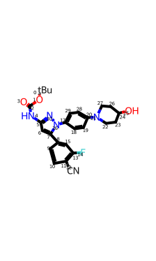 CC(C)(C)OC(=O)Nc1cc(-c2ccc(C#N)c(F)c2)n(-c2ccc(N3CCC(O)CC3)cc2)n1